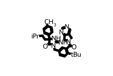 Cc1ccc(C2(CCC(C)C)NC(=N)N(Cc3ccc(C(C)(C)C)c(C(=O)N4Cc5cncnc5C4)c3)C2=O)cc1